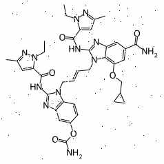 CCn1nc(C)cc1C(=O)Nc1nc2cc(OC(N)=O)ccc2n1CC=CCn1c(NC(=O)c2cc(C)nn2CC)nc2cc(C(N)=O)cc(OCC3CC3)c21